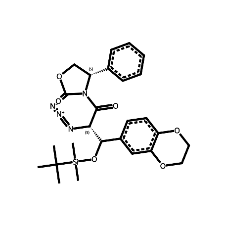 CC(C)(C)[Si](C)(C)OC(c1ccc2c(c1)OCCO2)[C@H](N=[N+]=[N-])C(=O)N1C(=O)OC[C@@H]1c1ccccc1